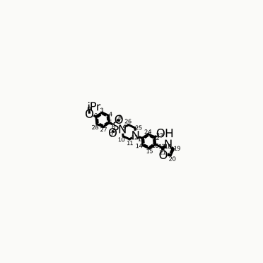 CC(C)Oc1ccc(S(=O)(=O)N2CCN(c3ccc(-c4ncco4)c(O)c3)CC2)cc1